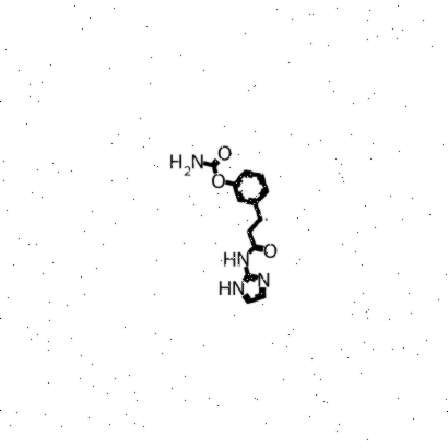 NC(=O)Oc1cccc([CH]CC(=O)Nc2ncc[nH]2)c1